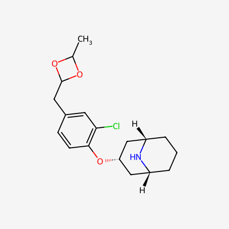 CC1OC(Cc2ccc(O[C@H]3C[C@H]4CCC[C@@H](C3)N4)c(Cl)c2)O1